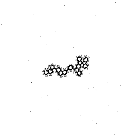 c1ccc(C2(c3ccccc3)c3ccccc3-c3cc4c(-c5cccc(-c6ccc7ccc8cc(-c9ccnc%10c9ccc9cccnc9%10)ccc8c7c6)c5)nc5ccccc5c4cc32)cc1